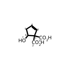 O=C(O)C1(C(=O)O)C=CCC1O